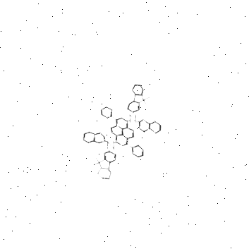 CC1(C)c2ccccc2-c2ccc(N(c3ccc4ccccc4c3)c3cc(-c4ccccc4)c4ccc5c(N(c6ccc7c(c6)C(C)(C)C6CC=CC=C76)c6ccc7ccccc7c6)cc(-c6ccccc6)c6ccc3c4c65)cc21